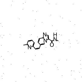 CNC(=O)c1cnc2ccc(/C=C\c3cccc(C)n3)cn12